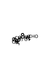 C[C@@H]1CCC[C@H](C)N1c1nnc2ccc(O[C@@H]3CC[C@H](NC(=O)N(OC=O)C4CC4)c4ccccc43)cn12